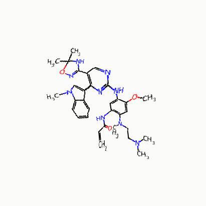 C=CC(=O)Nc1cc(Nc2ncc(C3=NOC(C)(C)N3)c(-c3cn(C)c4ccccc34)n2)c(OC)cc1N(C)CCN(C)C